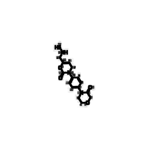 O=C1COCCN1c1ccc(N2CC=C(CNS)OC2=O)cc1